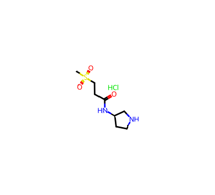 CS(=O)(=O)CCC(=O)NC1CCNC1.Cl